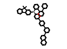 CC1(C)c2ccccc2-c2ccc(N(c3ccc(-c4ccc(-c5cccc(-c6ccc7ccccc7c6)c5)cc4)cc3)c3ccccc3-c3ccccc3-c3ccccc3)cc21